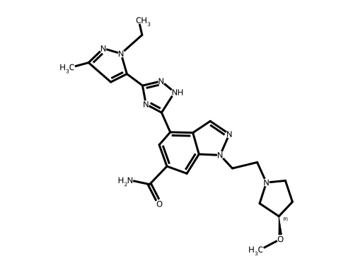 CCn1nc(C)cc1-c1n[nH]c(-c2cc(C(N)=O)cc3c2cnn3CCN2CC[C@@H](OC)C2)n1